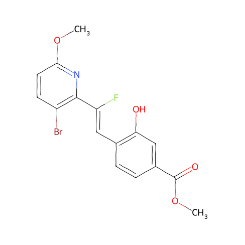 COC(=O)c1ccc(C=C(F)c2nc(OC)ccc2Br)c(O)c1